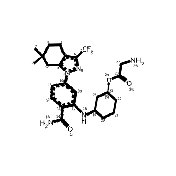 CC1(C)CCc2c(C(F)(F)F)nn(-c3ccc(C(N)=O)c(NC4CCC[C@H](OC(=O)CN)C4)c3)c2C1